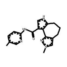 Cc1ccc(NC(=O)c2c[nH]c3c2-c2nn(C)cc2CCC3)nc1